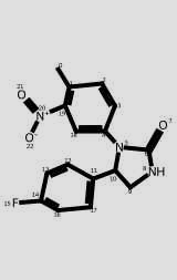 Cc1ccc(N2C(=O)NCC2c2ccc(F)cc2)cc1[N+](=O)[O-]